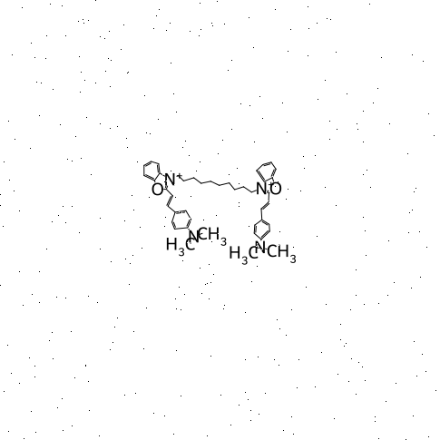 CN(C)c1ccc(/C=C/c2oc3ccccc3[n+]2CCCCCCCCCC[n+]2c(/C=C/c3ccc(N(C)C)cc3)oc3ccccc32)cc1